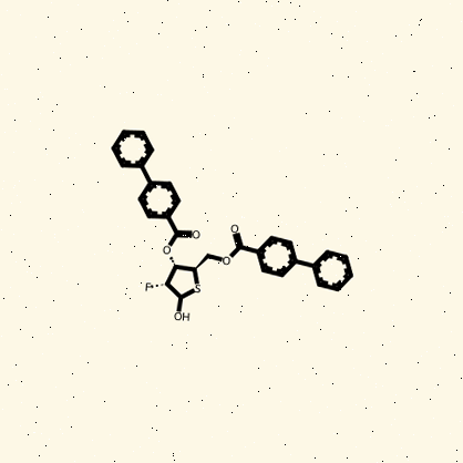 O=C(OC[C@H]1SC(O)[C@H](F)[C@@H]1OC(=O)c1ccc(-c2ccccc2)cc1)c1ccc(-c2ccccc2)cc1